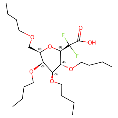 CCCCOC[C@H]1O[C@@H](C(F)(F)C(=O)O)[C@H](OCCCC)[C@@H](OCCCC)[C@H]1OCCCC